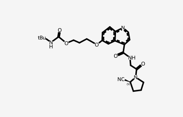 CC(C)(C)NC(=O)OCCCOc1ccc2nccc(C(=O)NCC(=O)N3CCC[C@H]3C#N)c2c1